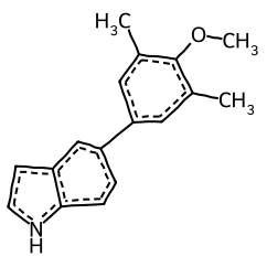 COc1c(C)cc(-c2ccc3[nH]ccc3c2)cc1C